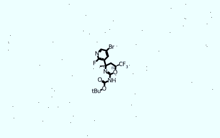 CC(C)(C)OC(=O)NC1=N[C@](C)(c2cc(Br)cnc2F)C[C@@H](C(F)(F)F)O1